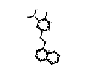 Cc1cnc(CCc2cccc3ccccc23)cc1N(C)C